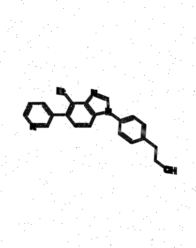 CCc1c(-c2cccnc2)ccc2c1ncn2-c1ccc(CCO)cc1